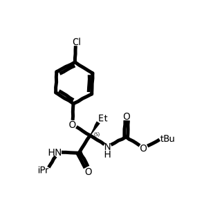 CC[C@](NC(=O)OC(C)(C)C)(Oc1ccc(Cl)cc1)C(=O)NC(C)C